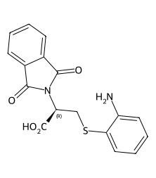 Nc1ccccc1SC[C@@H](C(=O)O)N1C(=O)c2ccccc2C1=O